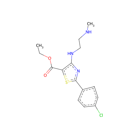 CCOC(=O)c1sc(-c2ccc(Cl)cc2)nc1NCCNC